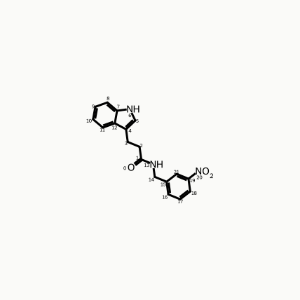 O=C(CCc1c[nH]c2ccccc12)NCc1cccc([N+](=O)[O-])c1